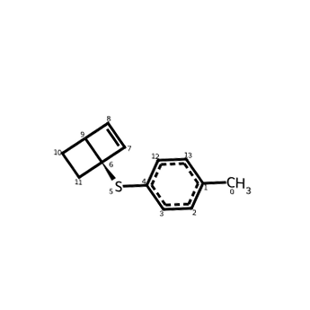 Cc1ccc(S[C@]23C=CC2CC3)cc1